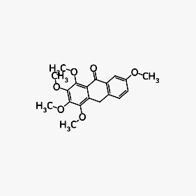 COc1ccc2c(c1)C(=O)c1c(c(OC)c(OC)c(OC)c1OC)C2